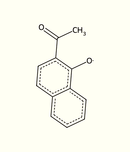 CC(=O)c1ccc2ccccc2c1[O]